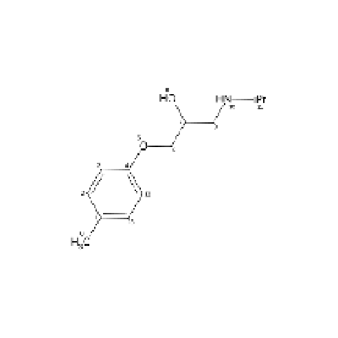 Cc1ccc(OCC(O)CNC(C)C)cc1